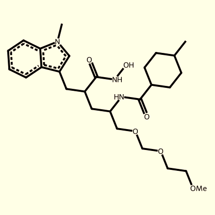 COCCOCOCC(CC(Cc1cn(C)c2ccccc12)C(=O)NO)NC(=O)C1CCC(C)CC1